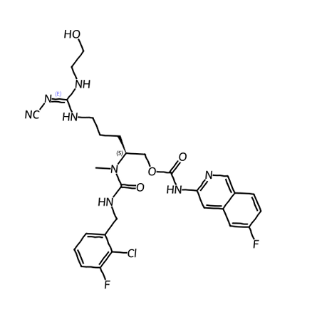 CN(C(=O)NCc1cccc(F)c1Cl)[C@@H](CCCN/C(=N\C#N)NCCO)COC(=O)Nc1cc2cc(F)ccc2cn1